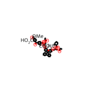 C=CC(=O)OCC(COc1ccc(C2(c3ccc(OCC(COC(=O)C=C)OC(=O)C4CC=CCC4C(=O)O)cc3)c3ccccc3-c3ccccc32)cc1)OC(=O)c1ccc(C(=O)c2ccc(C(=O)OC)c(C(=O)O)c2)cc1C(=O)O